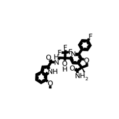 COc1cccc2cc(C(=O)NCC(O)(c3cc4c(c(-c5ccc(F)cc5)n3)OC[C@]4(C)C(N)=O)C(F)(F)F)[nH]c12